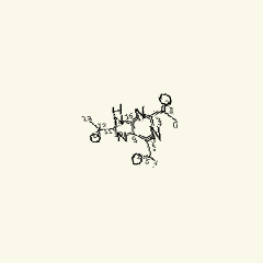 CC(=O)c1nc(C(C)=O)c2nc(C(C)=O)[nH]c2n1